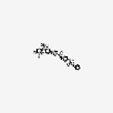 Cn1c(=O)n(C2CCC(=O)NC2=O)c2ccc(N3CCN(C(=O)CN4CCC(NC(=O)OCc5ccccc5)CC4)CC3)cc21